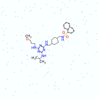 COCCCNc1nc(NCC2CCC(CNS(=O)(=O)c3cccc4ccccc34)CC2)nc(NC(C)C)n1